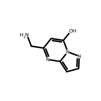 NCc1cc(O)n2nccc2n1